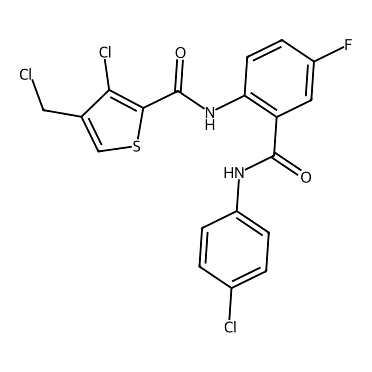 O=C(Nc1ccc(Cl)cc1)c1cc(F)ccc1NC(=O)c1scc(CCl)c1Cl